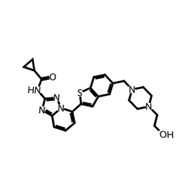 O=C(Nc1nc2cccc(-c3cc4cc(CN5CCN(CCO)CC5)ccc4s3)n2n1)C1CC1